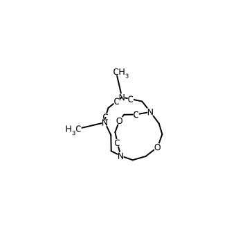 CN1CCCN(C)CCN2CCOCCN(CCOCC2)CC1